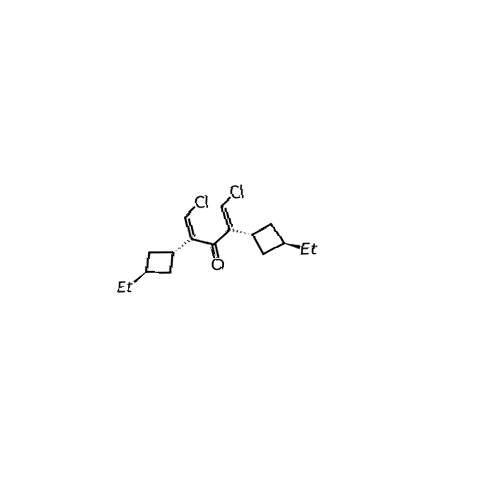 CC[C@H]1C[C@H](C(=CCl)C(=O)C(=CCl)[C@H]2C[C@H](CC)C2)C1